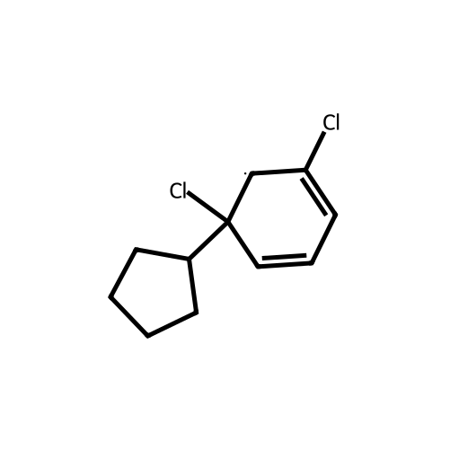 ClC1=CC=CC(Cl)(C2CCCC2)[CH]1